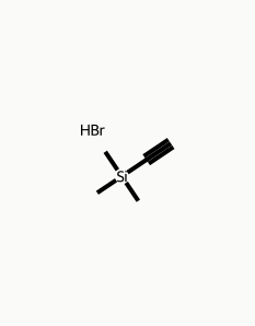 Br.C#C[Si](C)(C)C